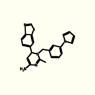 CC1=NC(N)=CC(c2ccc3ncsc3c2)N1Cc1cccc(-n2cccc2)c1